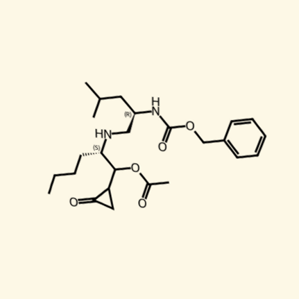 CCCC[C@H](NC[C@@H](CC(C)C)NC(=O)OCc1ccccc1)C(OC(C)=O)C1CC1=O